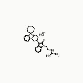 Cl.Cl.N=C(N)NCCn1c(=O)n(C2CCN(C3(c4ccccc4)CCCCCC3)CC2)c2ccccc21